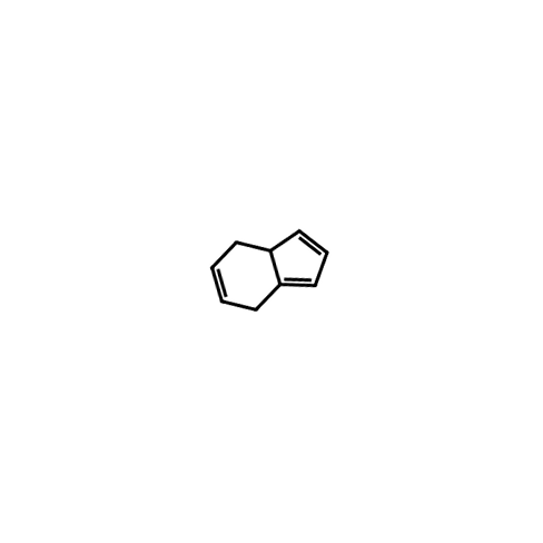 C1=CC2CC=CCC2=C1